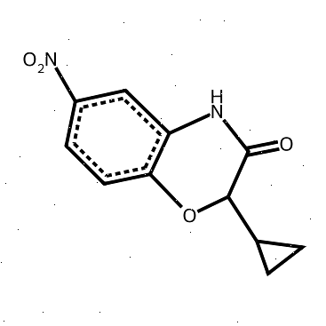 O=C1Nc2cc([N+](=O)[O-])ccc2OC1C1CC1